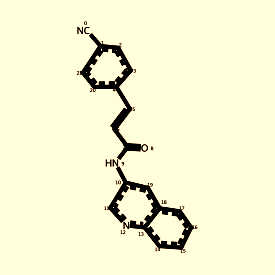 N#Cc1ccc(/C=C/C(=O)Nc2cnc3ccccc3c2)cc1